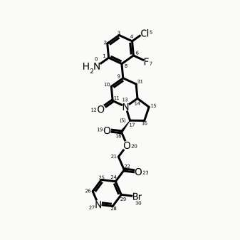 Nc1ccc(Cl)c(F)c1C1=CC(=O)N2C(CC[C@H]2C(=O)OCC(=O)c2ccncc2Br)C1